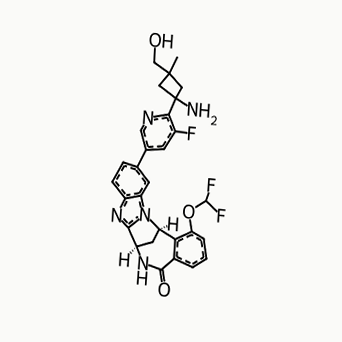 CC1(CO)CC(N)(c2ncc(-c3ccc4nc5n(c4c3)[C@@H]3C[C@H]5NC(=O)c4cccc(OC(F)F)c43)cc2F)C1